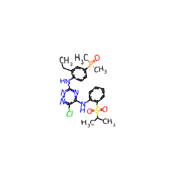 CCc1cc(P(C)(C)=O)ccc1Nc1nnc(Cl)c(Nc2ccccc2S(=O)(=O)C(C)C)n1